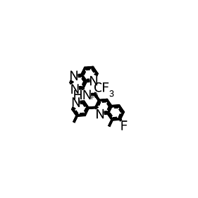 Cc1cncc(-c2nc3c(C)c(F)ccc3cc2[C@@H](Nc2ncnc3cccnc23)C(F)(F)F)c1